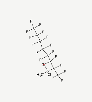 C[Si](Cl)(Cl)C(F)(C(F)(F)F)C(F)(F)C(F)(F)C(F)(F)C(F)(F)C(F)(F)C(F)(F)F